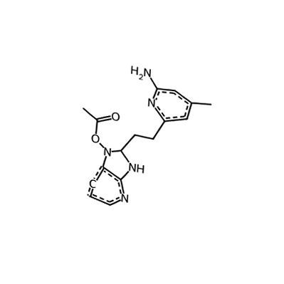 CC(=O)ON1c2cccnc2NC1CCc1cc(C)cc(N)n1